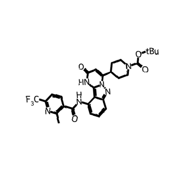 Cc1nc(C(F)(F)F)ccc1C(=O)Nc1cccc2nn3c(C4CCN(C(=O)OC(C)(C)C)CC4)cc(=O)[nH]c3c12